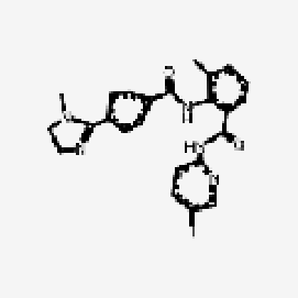 Cc1cccc(C(=O)Nc2ccc(I)cn2)c1NC(=O)c1ccc(C2=NCCN2C)cc1